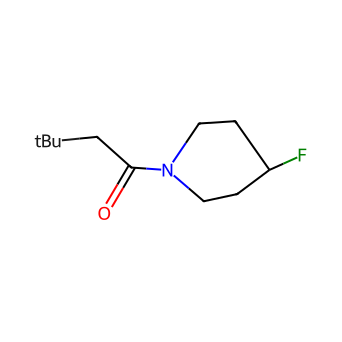 CC(C)(C)CC(=O)N1CCC(F)CC1